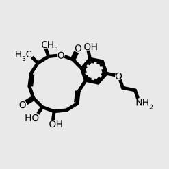 CC1/C=C\C(=O)C(O)C(O)C/C=C/c2cc(OCCN)cc(O)c2C(=O)OC1C